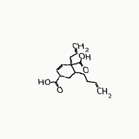 C=CCCC1CC(C(=O)O)C=CC1(CC=C)C(=O)O